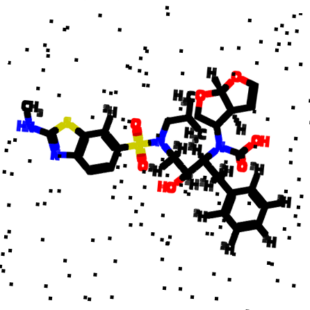 [2H]c1c([2H])c([2H])c(C([2H])([2H])[C@]([2H])(N(C(=O)O)C2CO[C@@H]3OC=C[C@@H]23)[C@]([2H])(O)C([2H])([2H])N(CC(C)C)S(=O)(=O)c2ccc3nc(NC)sc3c2[2H])c([2H])c1[2H]